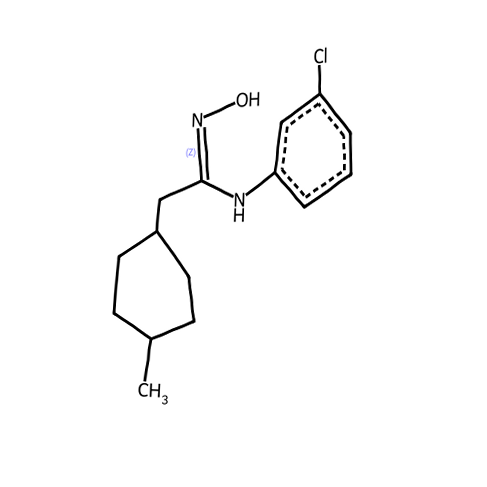 CC1CCC(C/C(=N/O)Nc2cccc(Cl)c2)CC1